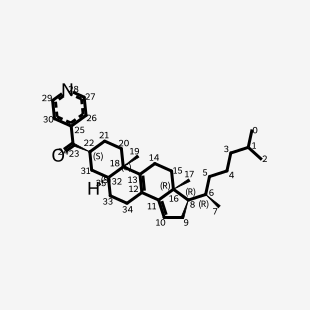 CC(C)CCC[C@@H](C)[C@H]1CC=C2C3=C(CC[C@@]21C)[C@@]1(C)CC[C@H](C(=O)c2ccncc2)C[C@@H]1CC3